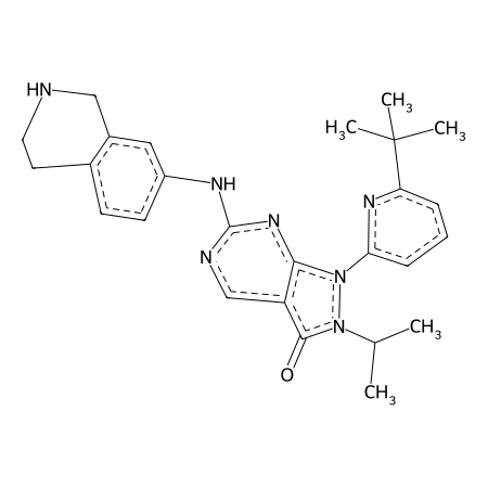 CC(C)n1c(=O)c2cnc(Nc3ccc4c(c3)CNCC4)nc2n1-c1cccc(C(C)(C)C)n1